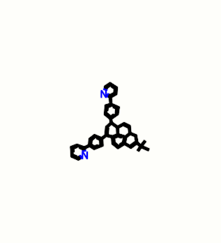 CC(C)(C)C1=Cc2ccc3c4c2C(C=CC4C(c2ccc(-c4ccccn4)cc2)C=C3c2ccc(-c3ccccn3)cc2)C1